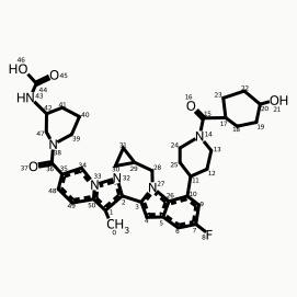 Cc1c(-c2cc3cc(F)cc(C4CCN(C(=O)C5CCC(O)CC5)CC4)c3n2CC2CC2)nn2cc(C(=O)N3CCCC(NC(=O)O)C3)ccc12